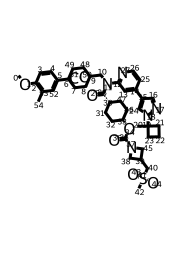 COc1ccc(C23CCC(CN(c4cc(-c5cnn(C6(C)CCC6)c5)ccn4)C(=O)[C@H]4CC[C@H](OC(=O)N5CC(CS(C)(=O)=O)C5)CC4)(CC2)CC3)cc1C